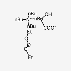 CCCC[N+](CCCC)(CCCC)CCCC.CCOOOCC.O=C([O-])CO